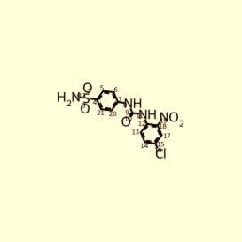 NS(=O)(=O)c1ccc(NC(=O)Nc2ccc(Cl)cc2[N+](=O)[O-])cc1